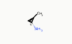 CC1=C[C@H]1N